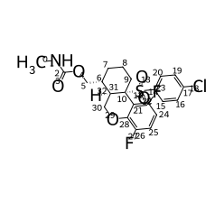 CNC(=O)OC[C@@H]1CCC[C@@]2(S(=O)(=O)c3ccc(Cl)cc3)c3c(F)ccc(F)c3OC[C@@H]12